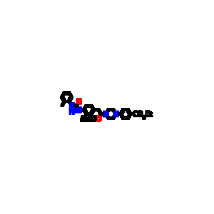 CCOC(=O)c1ccc(N2CCN(C(=O)Cc3ccc(NC(=O)Nc4ccccc4C)c(OC)c3)CC2)cc1